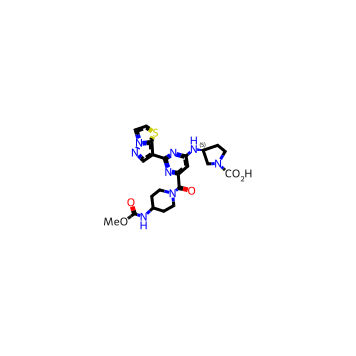 COC(=O)NC1CCN(C(=O)c2cc(N[C@H]3CCN(C(=O)O)C3)nc(-c3cnn4ccsc34)n2)CC1